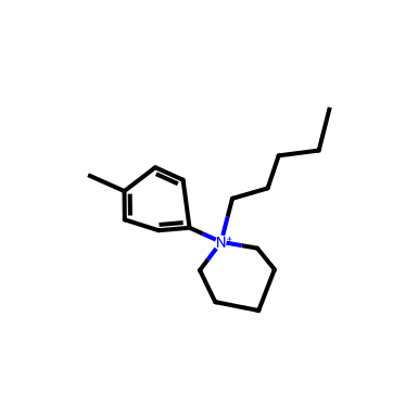 CCCCC[N+]1(c2ccc(C)cc2)CCCCC1